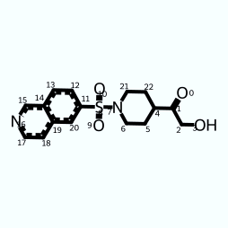 O=C(CO)C1CCN(S(=O)(=O)c2ccc3cnccc3c2)CC1